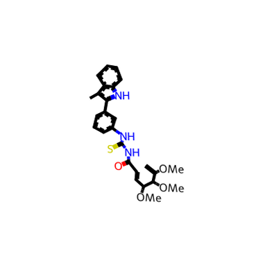 C=C(OC)C(OC)C(/C=C/C(=O)NC(=S)Nc1cccc(-c2[nH]c3ccccc3c2C)c1)OC